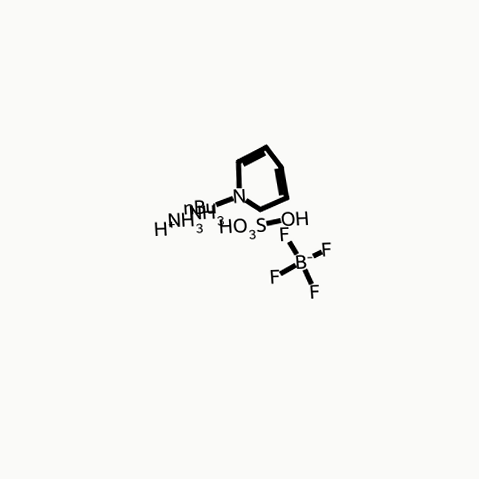 CCCCN1C=CC=CC1.F[B-](F)(F)F.N.N.O=S(=O)(O)O.[H+]